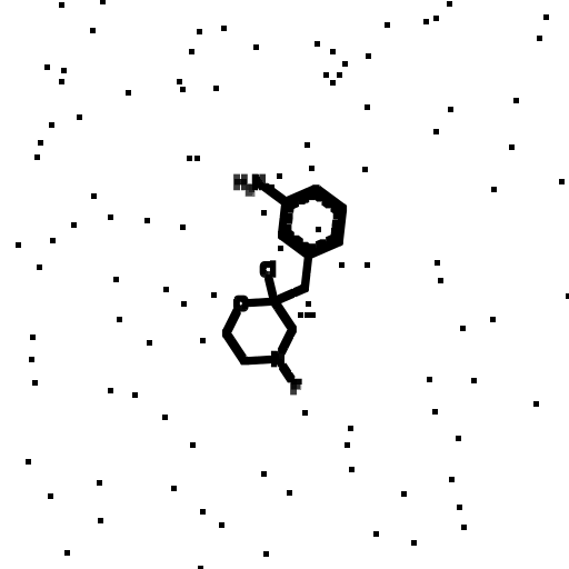 Nc1cccc(CC2(Cl)CN(F)CCO2)c1